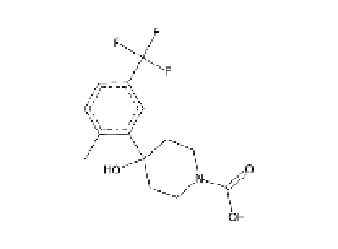 Cc1ccc(C(F)(F)F)cc1C1(O)CCN(C(=O)O)CC1